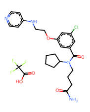 NC(=O)CCCN(C(=O)c1cc(Cl)cc(OCCNc2ccncc2)c1)C1CCCC1.O=C(O)C(F)(F)F